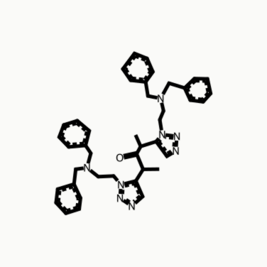 CC(C(=O)C(C)c1cnnn1CCN(Cc1ccccc1)Cc1ccccc1)c1cnnn1CCN(Cc1ccccc1)Cc1ccccc1